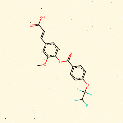 COc1cc(C=CC(=O)O)ccc1OC(=O)c1ccc(OC(F)(F)C(F)F)cc1